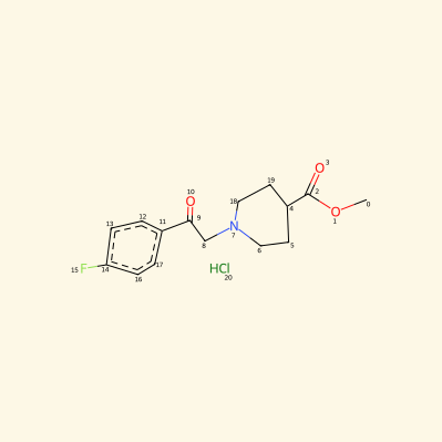 COC(=O)C1CCN(CC(=O)c2ccc(F)cc2)CC1.Cl